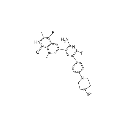 Cc1[nH]c(=O)c2c(F)cc(-c3cc(-c4ccc(N5CCN(C(C)C)CC5)cc4)c(F)nc3N)cc2c1F